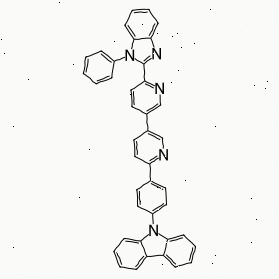 c1ccc(-n2c(-c3ccc(-c4ccc(-c5ccc(-n6c7ccccc7c7ccccc76)cc5)nc4)cn3)nc3ccccc32)cc1